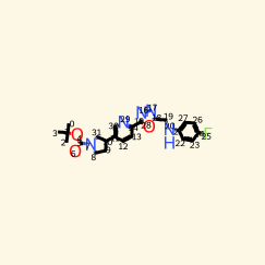 CC(C)(C)OC(=O)N1CCC(c2ccc(-c3nnc(CNc4ccc(F)cc4)o3)nc2)C1